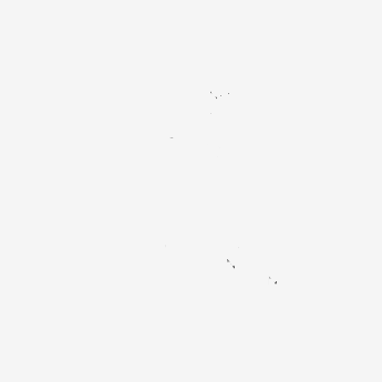 CCCOc1ccc(N)cc1-c1ccnn1C